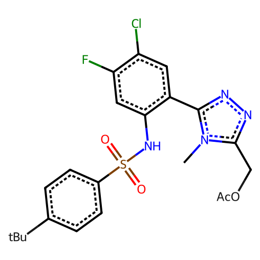 CC(=O)OCc1nnc(-c2cc(Cl)c(F)cc2NS(=O)(=O)c2ccc(C(C)(C)C)cc2)n1C